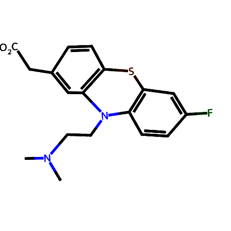 CN(C)CCN1c2ccc(F)cc2Sc2ccc(CC(=O)O)cc21